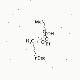 CCCCCCCCCCCCCCCC(C)CCC(COP(O)OCCCNC)OC(=O)CC